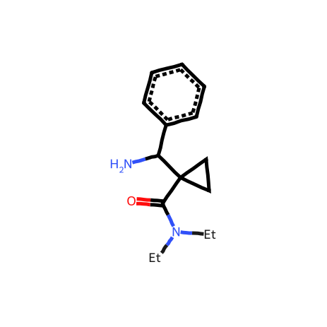 CCN(CC)C(=O)C1(C(N)c2ccccc2)CC1